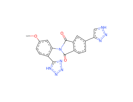 COc1ccc(-c2nnn[nH]2)c(N2C(=O)c3ccc(-c4c[nH]nn4)cc3C2=O)c1